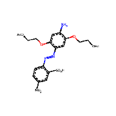 CC(=O)OCCOc1cc(/N=N/c2ccc([N+](=O)[O-])cc2S(=O)(=O)O)c(OCCOC(C)=O)cc1N